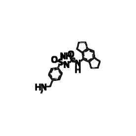 CNCc1ccc(S(N)(=O)=NC(=O)Nc2c3c(cc4c2CCC4)CCC3)cc1